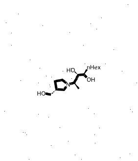 CCCCCC[C@@H](O)[C@@H](O)[C@@H](C)N1CC[C@@H](CO)C1